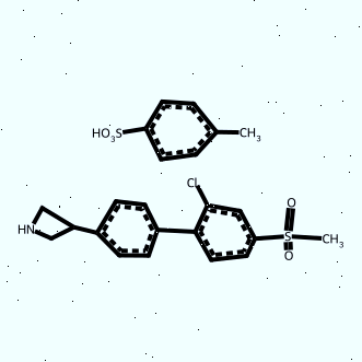 CS(=O)(=O)c1ccc(-c2ccc(C3CNC3)cc2)c(Cl)c1.Cc1ccc(S(=O)(=O)O)cc1